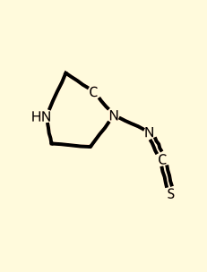 S=C=NN1CCNCC1